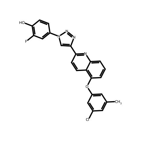 Cc1cc(Cl)cc(Oc2cccc3nc(-c4cn(-c5ccc(O)c(F)c5)nn4)ccc23)c1